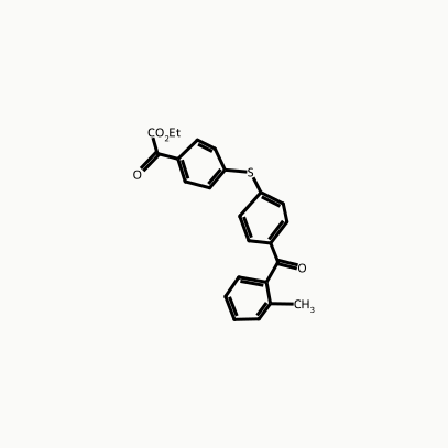 CCOC(=O)C(=O)c1ccc(Sc2ccc(C(=O)c3ccccc3C)cc2)cc1